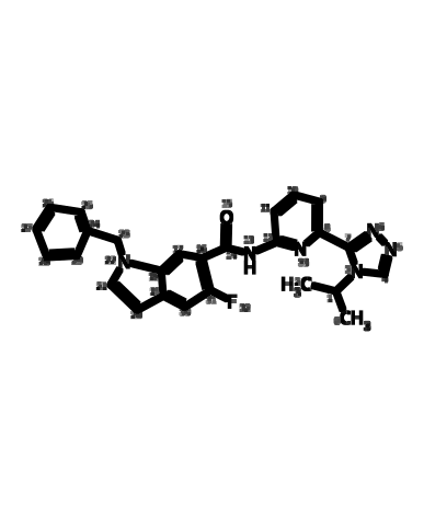 CC(C)n1cnnc1-c1cccc(NC(=O)c2cc3c(ccn3Cc3ccccc3)cc2F)n1